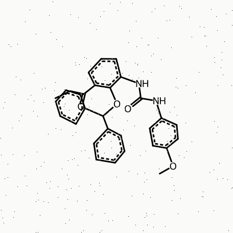 CCC(=O)c1cccc(NC(=O)Nc2ccc(OC)cc2)c1OC(c1ccccc1)c1ccccc1